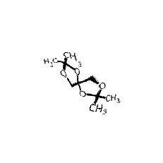 CC1(C)OCC2(COC(C)(C)O2)O1